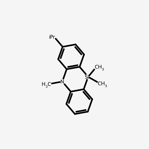 CC(C)c1ccc2c(c1)N(C)c1ccccc1[Si]2(C)C